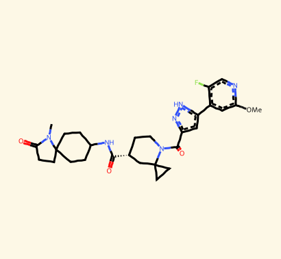 COc1cc(-c2cc(C(=O)N3CC[C@@H](C(=O)NC4CCC5(CCC(=O)N5C)CC4)CC34CC4)n[nH]2)c(F)cn1